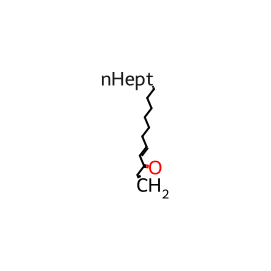 C=CC(=O)C=CCCCCCCCCCCCCC